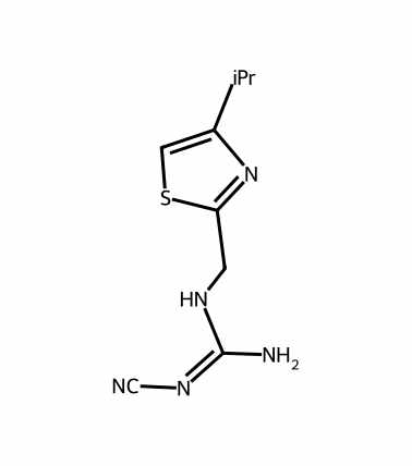 CC(C)c1csc(CN/C(N)=N\C#N)n1